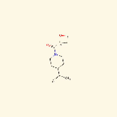 CC(C)C1CCN(C(=O)[C@H]2CCO2)CC1